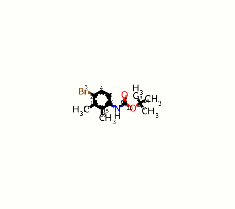 Cc1c(Br)ccc(NC(=O)OC(C)(C)C)c1C